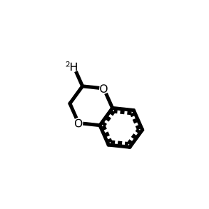 [2H]C1COc2ccccc2O1